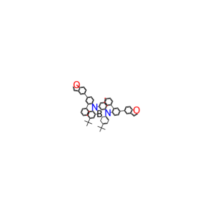 Cc1cc2c3c(c1)N(c1ccc(-c4ccc5occc5c4)cc1-c1ccccc1)c1ccc(C(C)(C)C)cc1B3C1CC(C(C)(C)C)=CC=C1N2c1ccc(-c2ccc3occc3c2)cc1-c1ccccc1